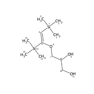 C[Si](C)(C)C=C(OCC(O)CO)[Si](C)(C)C